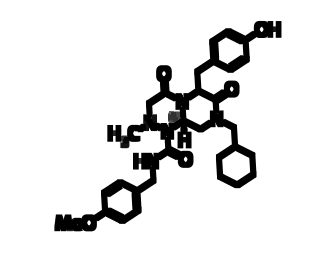 COc1ccc(CNC(=O)N2[C@H]3CN(CC4CCCCC4)C(=O)C(Cc4ccc(O)cc4)N3C(=O)CN2C)cc1